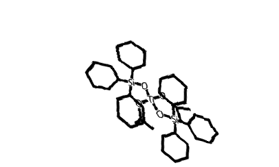 CC(C)[O][Ti]([O]C(C)C)([O][Si](C1CCCCC1)(C1CCCCC1)C1CCCCC1)[O][Si](C1CCCCC1)(C1CCCCC1)C1CCCCC1